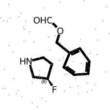 F[C@@H]1CCNC1.O=COCc1ccccc1